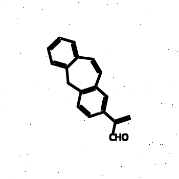 C=C(C=O)c1ccc2c(c1)C=Cc1ccccc1C2